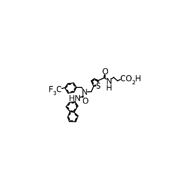 O=C(O)CCNC(=O)c1ccc(CN(Cc2ccc(C(F)(F)F)cc2)C(=O)Nc2ccc3ccccc3c2)s1